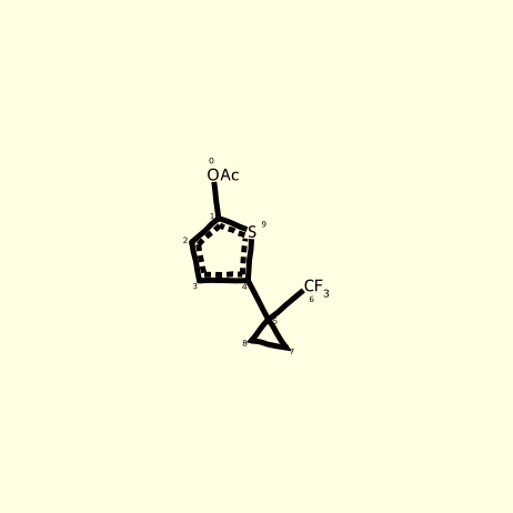 CC(=O)Oc1ccc(C2(C(F)(F)F)CC2)s1